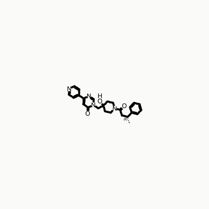 C[C@H](CC(=O)N1CCC(O)(Cn2cnc(-c3ccncc3)cc2=O)CC1)c1ccccc1